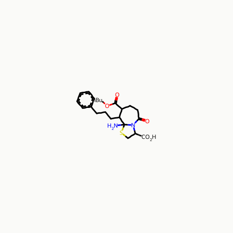 CCCCOC(=O)C1CCC(=O)N2C(C(=O)O)CSC2(N)C1CCCc1ccccc1